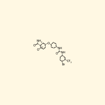 NC(=O)c1cc(Oc2ccc(NC(=O)Nc3ccc(Br)c(C(F)(F)F)c3)cc2)cc[n+]1[O-]